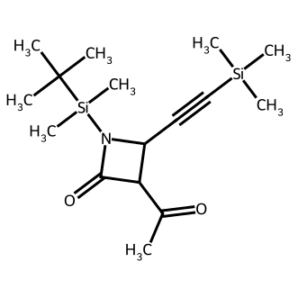 CC(=O)C1C(=O)N([Si](C)(C)C(C)(C)C)C1C#C[Si](C)(C)C